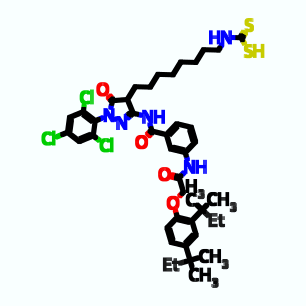 CCC(C)(C)c1ccc(OCC(=O)Nc2cccc(C(=O)NC3=NN(c4c(Cl)cc(Cl)cc4Cl)C(=O)C3CCCCCCCCNC(=S)S)c2)c(C(C)(C)CC)c1